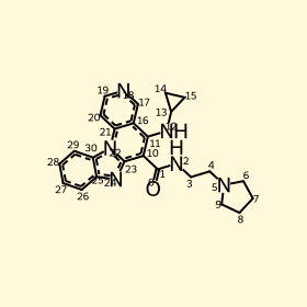 O=C(NCCN1CCCC1)c1c(NC2CC2)c2cnccc2n2c1nc1ccccc12